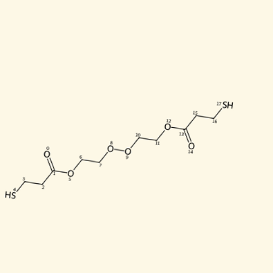 O=C(CCS)OCCOOCCOC(=O)CCS